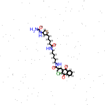 C/C(=C\C1=C(Cl)C(=O)c2ccccc2C1=O)C(=O)NCCCCCCNC(=O)CCCCC1CC(NC(N)=O)CS1